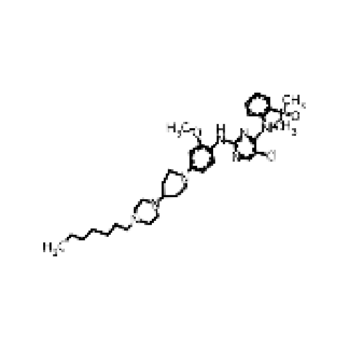 CCCCCCCN1CCN(C2CCN(c3ccc(Nc4ncc(Cl)c(Nc5ccccc5P(C)(C)=O)n4)c(OC)c3)CC2)CC1